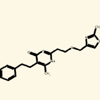 Cc1nc(CSCCc2nc(=O)c(CCc3ccccc3)c(C)[nH]2)cs1